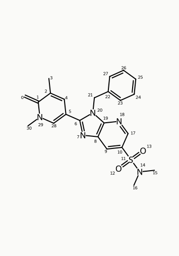 C=C1C(C)=CC(c2nc3cc(S(=O)(=O)N(C)C)cnc3n2Cc2ccccc2)=CN1C